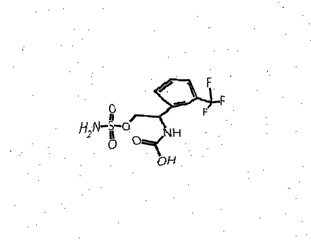 NS(=O)(=O)OCC(NC(=O)O)c1cccc(C(F)(F)F)c1